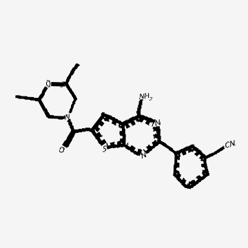 CC1CN(C(=O)c2cc3c(N)nc(-c4cccc(C#N)c4)nc3s2)CC(C)O1